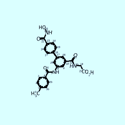 Cc1ccc(C(=O)Nc2cc(C(=O)NCC(=O)O)cc(-c3ccc(C(=O)NO)cc3)c2)cc1